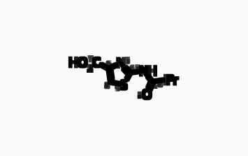 CC(C)C(=O)Nc1nc(C(=O)O)cs1